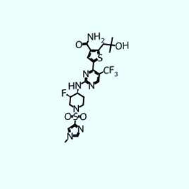 Cn1cnc(S(=O)(=O)N2CC[C@H](Nc3ncc(C(F)(F)F)c(-c4cc(C(N)=O)c(CC(C)(C)O)s4)n3)[C@H](F)C2)c1